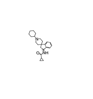 O=C(N[C@H]1CC2(CCN(C3CCCCC3)CC2)c2ccccc21)C1CC1